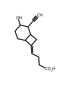 C#CC1C(O)CCC2/C(=C/CCC(=O)O)CC21